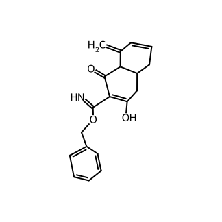 C=C1C=CCC2CC(O)=C(C(=N)OCc3ccccc3)C(=O)C12